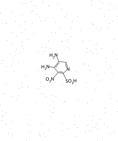 Nc1cnc(S(=O)(=O)O)c([N+](=O)[O-])c1N